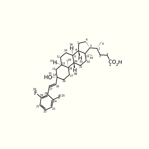 C[C@H](CCC(=O)O)[C@H]1CC[C@H]2[C@@H]3CC[C@@H]4C[C@](O)(/C=C/c5c(F)cccc5F)CC[C@]4(C)[C@H]3CC[C@]12C